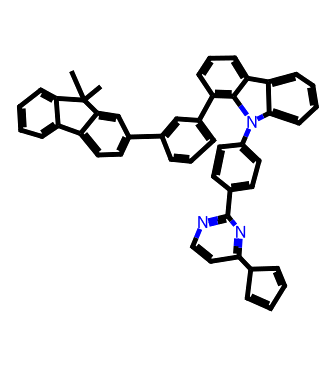 CC1(C)c2ccccc2-c2ccc(-c3cccc(-c4cccc5c6ccccc6n(-c6ccc(-c7nccc(C8C=CC=C8)n7)cc6)c45)c3)cc21